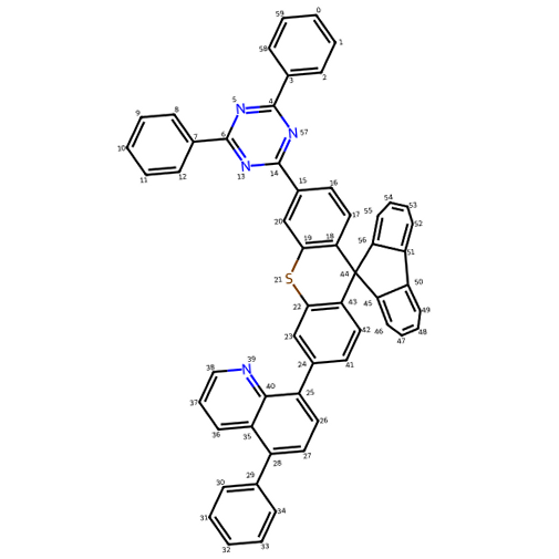 c1ccc(-c2nc(-c3ccccc3)nc(-c3ccc4c(c3)Sc3cc(-c5ccc(-c6ccccc6)c6cccnc56)ccc3C43c4ccccc4-c4ccccc43)n2)cc1